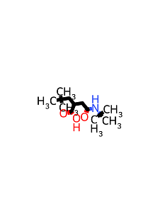 CC(C)(C)CC(CC(=O)NC(C)(C)C)C(=O)O